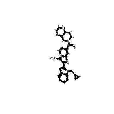 Cc1c(-c2cc3ccccc3n2CC2CC2)nc2cc(C(=O)N3CCC4OCCNC4C3)ccn12